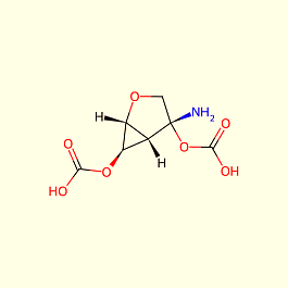 N[C@]1(OC(=O)O)CO[C@H]2[C@H](OC(=O)O)[C@H]21